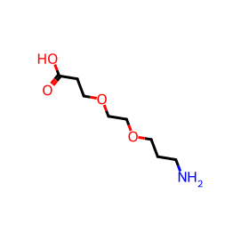 NCCCOCCOCCC(=O)O